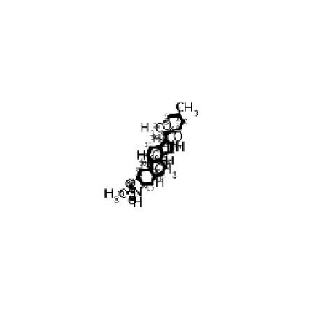 C[C@@H]1CC[C@@]2(OC1)O[C@H]1C[C@H]3[C@@H]4CC[C@@H]5C[C@H](NS(C)(=O)=O)CC[C@]5(C)[C@H]4CC[C@]3(C)[C@H]1[C@@H]2C